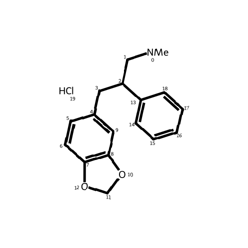 CNCC(Cc1ccc2c(c1)OCO2)c1ccccc1.Cl